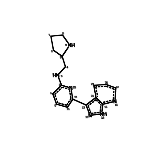 c1cc(NCC2CCCN2)nc(-c2n[nH]c3ncccc23)c1